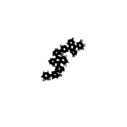 c1ccc(-c2ccc3sc4ccc(-c5c6ccccc6c(-c6cccc7c6sc6cc(-c8c9ccccc9c(-c9ccccc9)c9ccccc89)ccc67)c6ccccc56)cc4c3c2)cc1